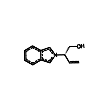 C=C[C@@H](CO)n1cc2ccccc2c1